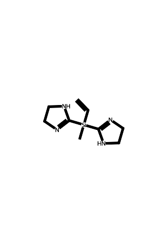 C=C[Si](C)(C1=NCCN1)C1=NCCN1